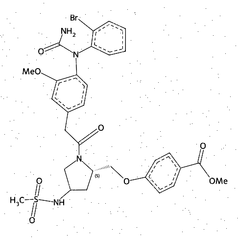 COC(=O)c1ccc(OC[C@@H]2CC(NS(C)(=O)=O)CN2C(=O)Cc2ccc(N(C(N)=O)c3ccccc3Br)c(OC)c2)cc1